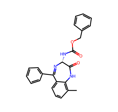 Cc1cccc2c1NC(=O)[C@@H](NC(=O)OCc1ccccc1)N=C2c1ccccc1